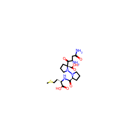 CSCC[C@H](NC(=O)[C@@H]1CCCN1N1CCC[C@]1(C(=O)O)C(=O)[C@@H](N)CC(N)=O)C(=O)O